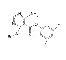 CC(C)(C)Nc1ncnc(N)c1C(=N)Oc1cc(F)cc(F)c1